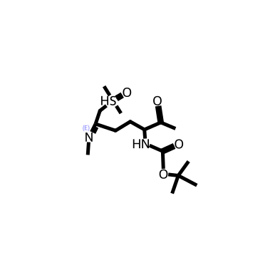 C/N=C(\CCC(NC(=O)OC(C)(C)C)C(C)=O)C[SH](C)(C)=O